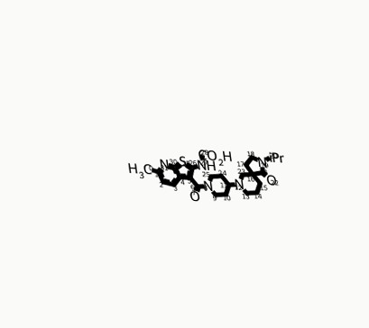 Cc1ccc2c(C(=O)N3CCC(N4CCCC5(CCN(C(C)C)C5=O)C4)CC3)c(NC(=O)O)sc2n1